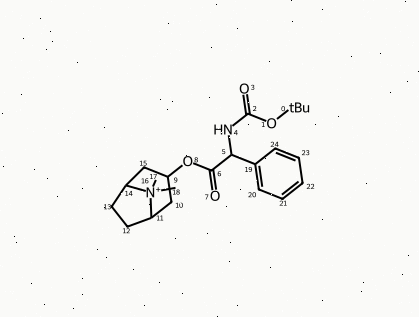 CC(C)(C)OC(=O)NC(C(=O)OC1CC2CCC(C1)[N+]2(C)C)c1ccccc1